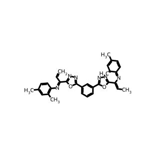 C=C/C(=N\c1ccc(C)cc1C)c1nnc(-c2cccc(-c3nnc(C(=C/C)/N=C4/C=CC(C)=CC4=C)o3)c2)o1